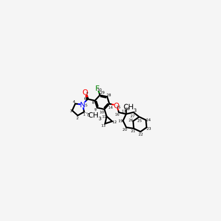 C[C@@H]1CCCN1C(=O)c1cc(C2CC2)c(OCC2(C)CCC3CCCC(C3)C2)cc1F